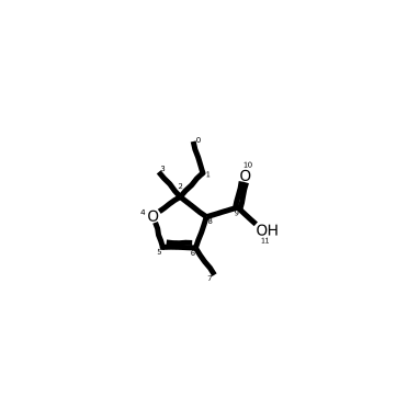 CCC1(C)OC=C(C)C1C(=O)O